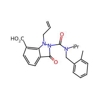 C=CCn1c2c(C(=O)O)cccc2c(=O)n1C(=O)N(Cc1ccccc1C)C(C)C